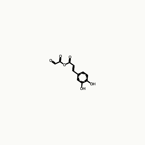 O=CC(=O)OC(=O)/C=C/c1ccc(O)c(O)c1